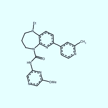 CCN1CCCN(C(=O)Nc2cncc(OC)n2)c2nc(-c3ccnc(C)c3)ccc21